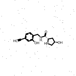 C#Cc1ccc(CNC(=O)[C@@H]2C[C@@H](O)CN2)c(O)c1